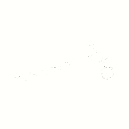 Cc1ccc(S(=O)(=O)OC(CO)COOCCOCCOCCCCCO)cc1